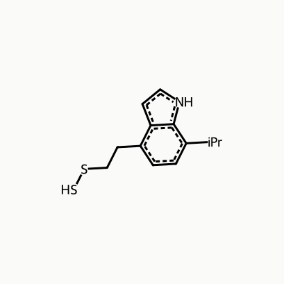 CC(C)c1ccc(CCSS)c2cc[nH]c12